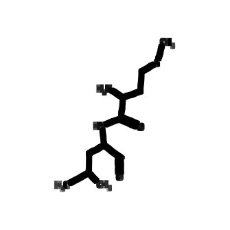 CSCCC(N)C(=O)NC([C]=O)CC(C)C